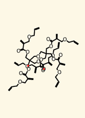 C=CCOCC(=C)C(=O)OCC(COCC(COC(=O)C(=C)COCC=C)(COC(=O)C(=C)COCC=C)COC(=O)C(=C)COCC=C)(COC(=O)C(=C)COCC=C)COC(=O)C(=C)COCC=C